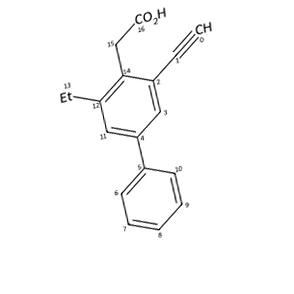 C#Cc1cc(-c2ccccc2)cc(CC)c1CC(=O)O